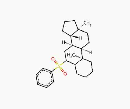 C[C@@]12CCC[C@H]1[C@@H]1CC(S(=O)(=O)c3ccccc3)C3CCCC[C@]3(C)[C@@H]1CC2